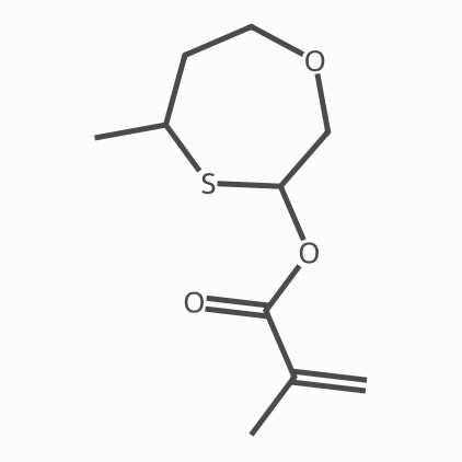 C=C(C)C(=O)OC1COCCC(C)S1